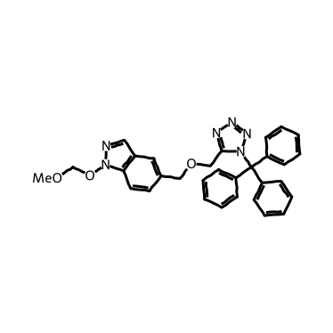 COCOn1ncc2cc(COCc3nnnn3C(c3ccccc3)(c3ccccc3)c3ccccc3)ccc21